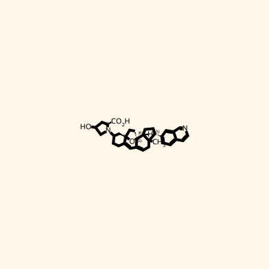 CC12CC=C3C=C4CCC(N5CC(O)C[C@H]5C(=O)O)C[C@]45CC[C@]3(O5)[C@@H]1CC[C@@H]2c1ccc2ccncc2c1